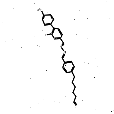 C=CCCCCCc1ccc(C=NN=Cc2ccc(-c3ccc(CCC)cc3)c(F)c2)cc1